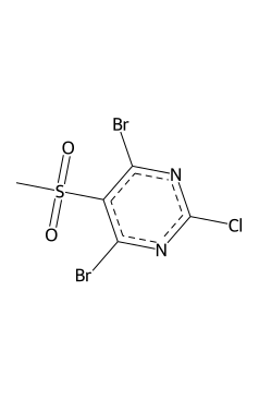 CS(=O)(=O)c1c(Br)nc(Cl)nc1Br